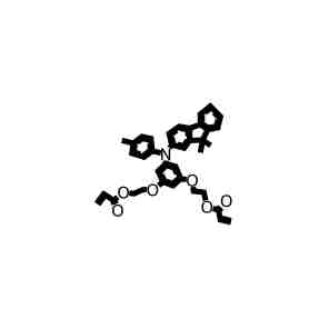 C=CC(=O)OCCOc1cc(OCCOC(=O)C=C)cc(N(c2ccc(C)cc2)c2ccc3c(c2)C(C)(C)c2ccccc2-3)c1